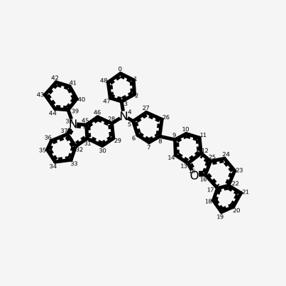 c1ccc(N(c2ccc(-c3ccc4c(c3)oc3c5ccccc5ccc43)cc2)c2ccc3c4ccccc4n(-c4ccccc4)c3c2)cc1